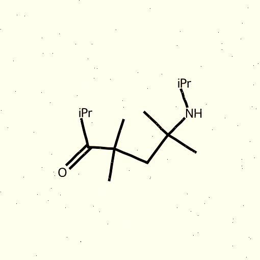 CC(C)NC(C)(C)CC(C)(C)C(=O)C(C)C